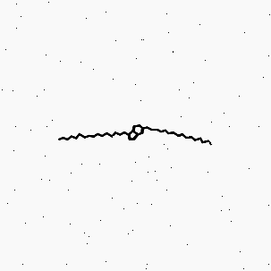 CCCCCCCCCCCCCCCCC1=CC2=CC=C(CCCCCCCCCCCCCCCC)C2=CC1